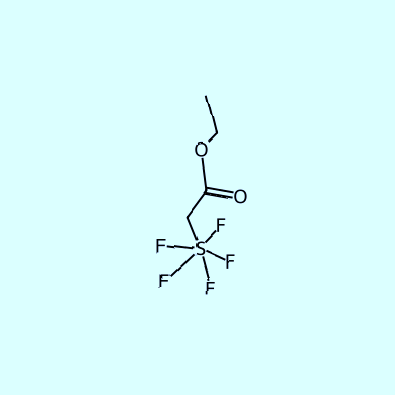 CCOC(=O)CS(F)(F)(F)(F)F